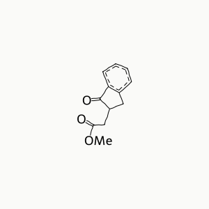 COC(=O)CC1Cc2ccccc2C1=O